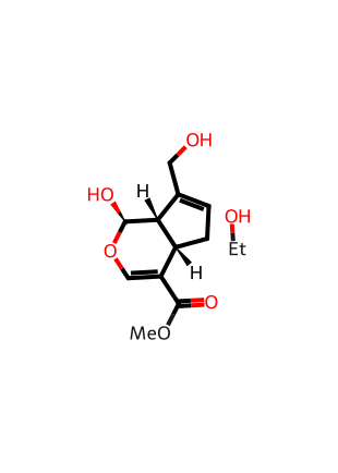 CCO.COC(=O)C1=CO[C@@H](O)[C@@H]2C(CO)=CC[C@H]12